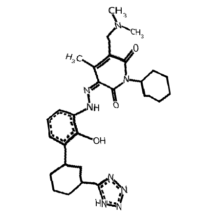 CC1=C(CN(C)C)C(=O)N(C2CCCCC2)C(=O)C1=NNc1cccc(C2CCCC(c3nnn[nH]3)C2)c1O